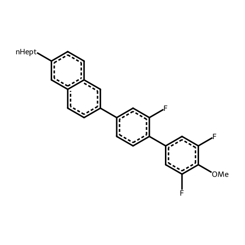 CCCCCCCc1ccc2cc(-c3ccc(-c4cc(F)c(OC)c(F)c4)c(F)c3)ccc2c1